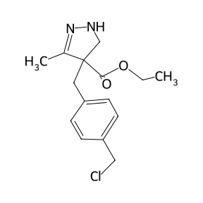 CCOC(=O)C1(Cc2ccc(CCl)cc2)CNN=C1C